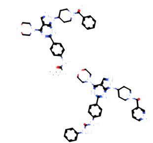 CNC(=O)Nc1ccc(-c2nc(N3CCOCC3)c3cnn(C4CCN(C(=O)c5ccccc5)CC4)c3n2)cc1.O=C(Nc1ccccc1)Nc1ccc(-c2nc(N3CCOCC3)c3cnn(C4CCN(C(=O)c5cccnc5)CC4)c3n2)cc1